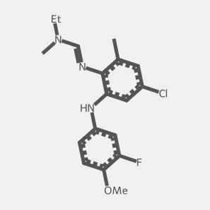 CCN(C)C=Nc1c(C)cc(Cl)cc1Nc1ccc(OC)c(F)c1